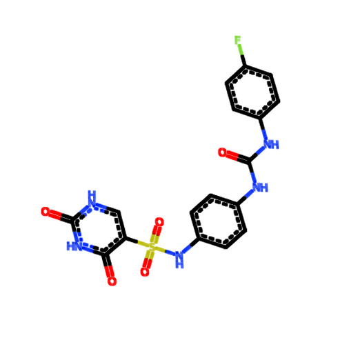 O=C(Nc1ccc(F)cc1)Nc1ccc(NS(=O)(=O)c2c[nH]c(=O)[nH]c2=O)cc1